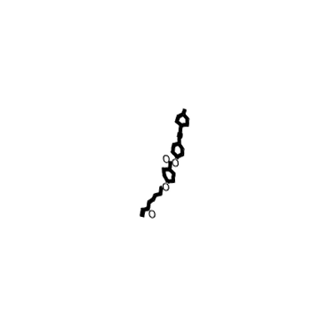 C=CC(=O)CCCCCOC1CCC(C(=O)OC2CCC(C#CC3CCC(C)CC3)CC2)CC1